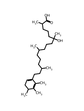 CC1=C(C)C(C)CC=C1CCC(C)CCCC(C)CCCC(C)(O)CCCC(C)C(=O)O